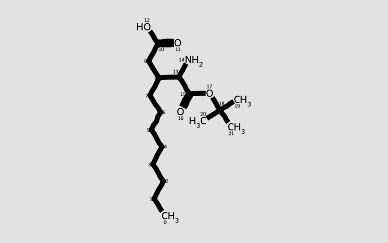 CCCCCCCCC(CC(=O)O)C(N)C(=O)OC(C)(C)C